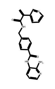 C=C(C(=O)NCc1ccc(C(=O)Nc2cccnc2N)cc1)c1cccnc1